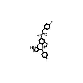 Cc1[nH]ncc1C(c1ccc(F)cc1)N1CCc2cc(NC(=O)Cc3ccc(F)cc3)ccc21